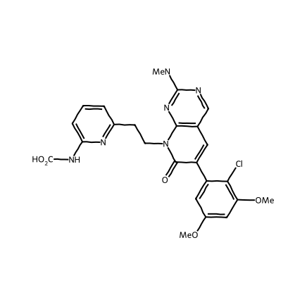 CNc1ncc2cc(-c3cc(OC)cc(OC)c3Cl)c(=O)n(CCc3cccc(NC(=O)O)n3)c2n1